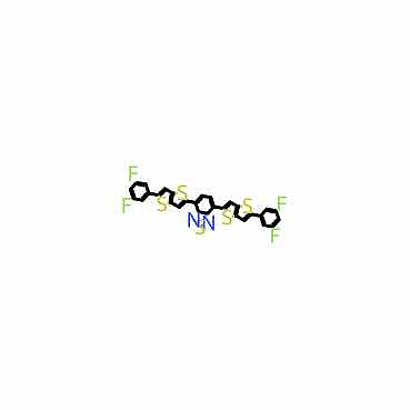 Fc1cc(F)cc(-c2cc3sc(-c4ccc(-c5cc6sc(-c7cc(F)cc(F)c7)cc6s5)c5nsnc45)cc3s2)c1